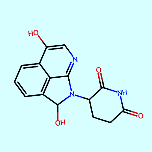 O=C1CCC(N2c3ncc(O)c4cccc(c34)C2O)C(=O)N1